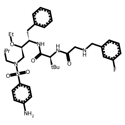 CCO[C@H](CN(CC(C)C)S(=O)(=O)c1ccc(N)cc1)[C@H](Cc1ccccc1)NC(=O)[C@@H](NC(=O)CNCc1cccc(F)c1)C(C)(C)C